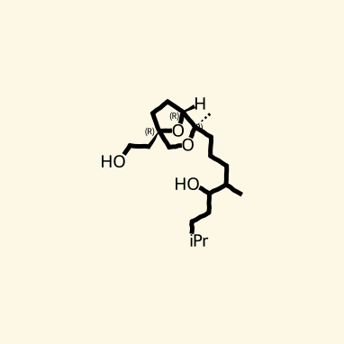 CC(C)CCC(O)C(C)CCC[C@@]1(C)OC[C@]2(CCO)CC[C@H]1O2